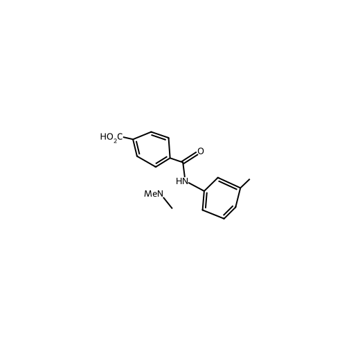 CNC.Cc1cccc(NC(=O)c2ccc(C(=O)O)cc2)c1